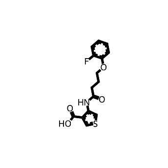 O=C(CCCOc1ccccc1F)Nc1cscc1C(=O)O